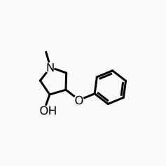 CN1CC(O)C(Oc2ccccc2)C1